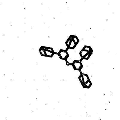 c1c(Oc2cc(C34CC5CC(CC(C5)C3)C4)cc(C34CC5CC(CC(C5)C3)C4)c2)cc(C23CC4CC(CC(C4)C2)C3)cc1C12CC3CC(CC(C3)C1)C2